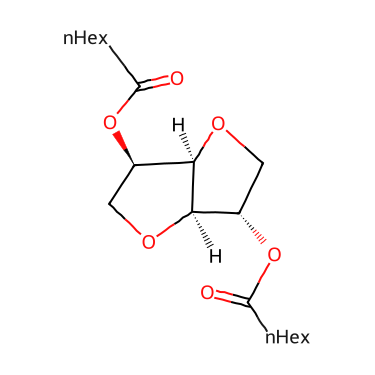 CCCCCCC(=O)O[C@H]1CO[C@H]2[C@@H]1OC[C@H]2OC(=O)CCCCCC